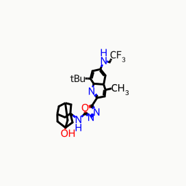 CC1=CC(c2nnc(NC34CC5CC(CC(O)(C5)C3)C4)o2)=NC2C(C(C)(C)C)=CC(NCC(F)(F)F)=CC12